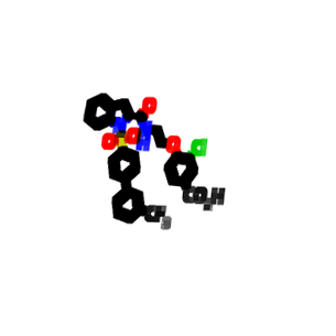 O=C(O)c1ccc(OCCNC(=O)[C@@H]2Cc3ccccc3N2S(=O)(=O)c2ccc(-c3cccc(C(F)(F)F)c3)cc2)c(Cl)c1